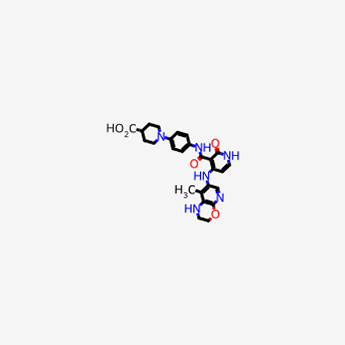 Cc1c(Nc2cc[nH]c(=O)c2C(=O)Nc2ccc(N3CCC(C(=O)O)CC3)cc2)cnc2c1NCCO2